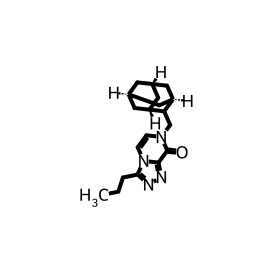 CCCc1nnc2c(=O)n(CC3[C@H]4C[C@@H]5C[C@@H](C[C@H]3C5)C4)ccn12